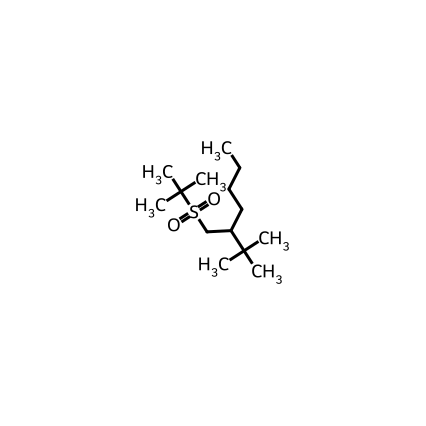 CCCCC(CS(=O)(=O)C(C)(C)C)C(C)(C)C